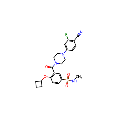 CNS(=O)(=O)c1ccc(OC2CCC2)c(C(=O)N2CCN(c3ccc(C#N)c(F)c3)CC2)c1